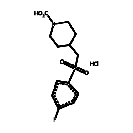 Cl.O=C(O)N1CCC(CS(=O)(=O)c2ccc(F)cc2)CC1